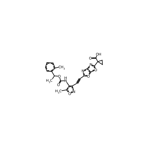 Cc1ccccc1C(C)OC(=O)Nc1c(C#Cc2nc3nc(C4(C(=O)O)CC4)oc3o2)noc1C